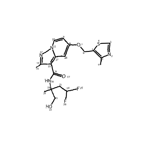 Cc1ncsc1COc1ccn2nc(C)c(C(=O)NC(C)(CO)CC(F)F)c2c1